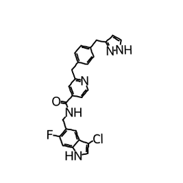 O=C(NCc1cc2c(Cl)c[nH]c2cc1F)c1ccnc(Cc2ccc(Cc3cc[nH]n3)cc2)c1